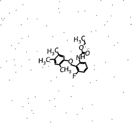 CCOC(=O)Nc1cccc(F)c1COc1cc(C)c(C)cc1C